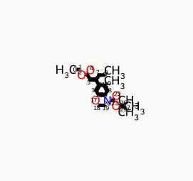 CCOC(=O)C=C(CC(C)C)c1ccc2c(c1)OCCN2C(=O)OC(C)(C)C